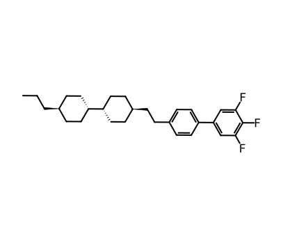 CCC[C@H]1CC[C@H]([C@H]2CC[C@H](CCc3ccc(-c4cc(F)c(F)c(F)c4)cc3)CC2)CC1